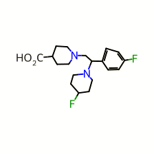 O=C(O)C1CCN(CC(c2ccc(F)cc2)N2CCC(F)CC2)CC1